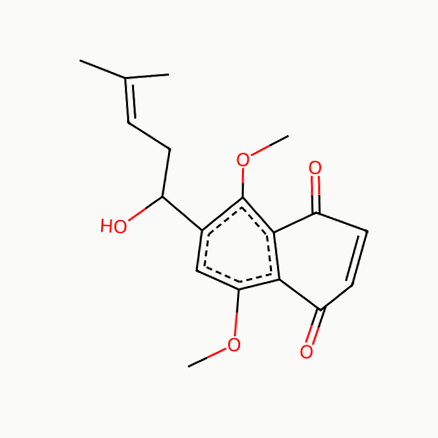 COc1cc(C(O)CC=C(C)C)c(OC)c2c1C(=O)C=CC2=O